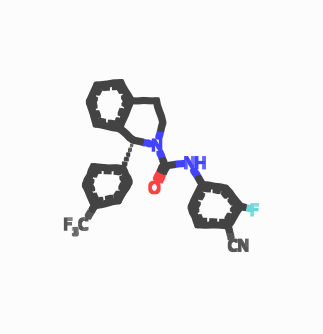 N#Cc1ccc(NC(=O)N2CCc3ccccc3[C@H]2c2ccc(C(F)(F)F)cc2)cc1F